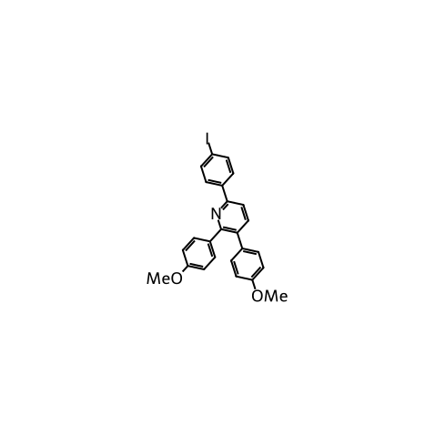 COc1ccc(-c2ccc(-c3ccc(I)cc3)nc2-c2ccc(OC)cc2)cc1